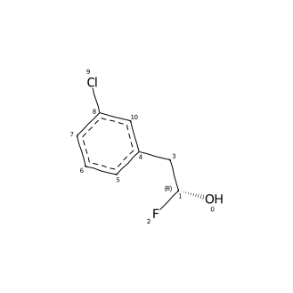 O[C@H](F)Cc1cccc(Cl)c1